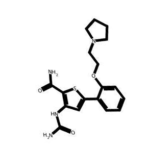 NC(=O)Nc1cc(-c2ccccc2OCCN2CCCC2)sc1C(N)=O